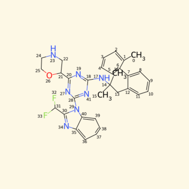 Cc1ccccc1-c1ccccc1CC(C)(C)Nc1nc(C2CNCCO2)nc(-n2c(C(F)F)nc3ccccc32)n1